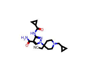 N#CCC1(n2cc(C(N)=O)c(NC(=O)C3CC3)n2)CCN(CC2CC2)CC1